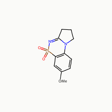 COc1ccc2c(c1)S(=O)(=O)N=C1CCCN12